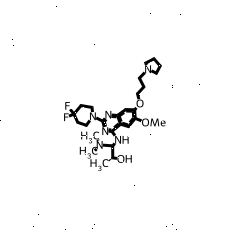 COc1cc2c(NC([C@@H](C)O)N(C)C)nc(N3CCC(F)(F)CC3)nc2cc1OCCCN1CCCC1